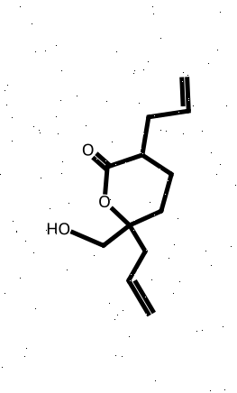 C=CCC1CCC(CO)(CC=C)OC1=O